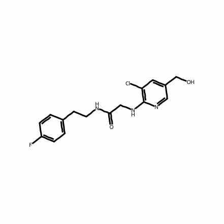 O=C(CNc1ncc(CO)cc1Cl)NCCc1ccc(F)cc1